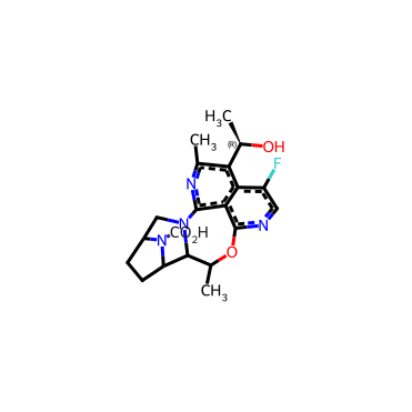 Cc1nc2c3c(ncc(F)c3c1[C@@H](C)O)OC(C)C1C3CCC(CN21)N3C(=O)O